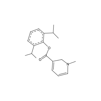 CC(C)c1cccc(C(C)C)c1OC(=O)C1=CC=CN(C)C1